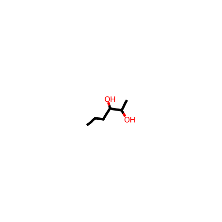 CCCC(O)C(C)O